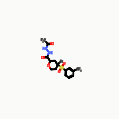 CCC1(S(=O)(=O)c2cccc(C(F)(F)F)c2)CCOC(C(=O)NNC(=O)C(F)(F)F)C1